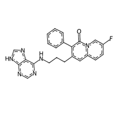 O=c1c(-c2ccccc2)c(CCCNc2ncnc3[nH]cnc23)cc2ccc(F)cn12